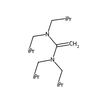 C=C(N(CC(C)C)CC(C)C)N(CC(C)C)CC(C)C